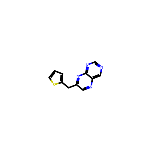 c1csc(Cc2cnc3cncnc3n2)c1